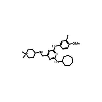 COc1ccc(Nc2nc(CNC3CC[N+](C)(C)CC3)nc(NC3CCCCCC3)n2)cc1F